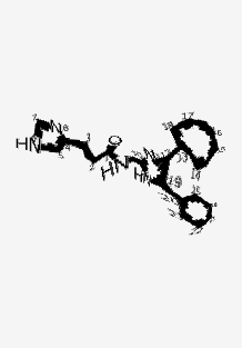 O=C(CCc1c[nH]cn1)Nc1nc(-c2ccccc2)c(-c2ccccc2)[nH]1